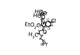 CCOC(=O)c1c(C(=O)CC(C)CCCC(C)C)c2ccc(Cl)cc2n1COP(=O)(O)O